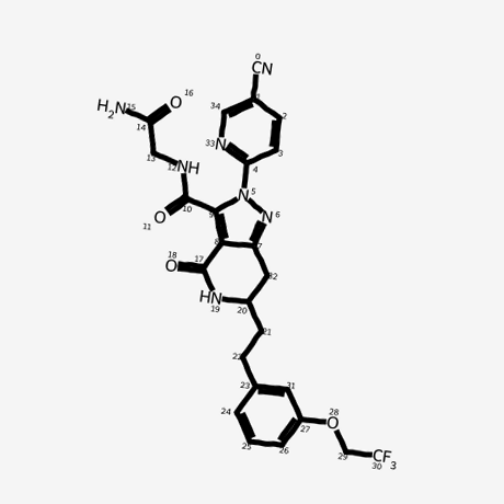 N#Cc1ccc(-n2nc3c(c2C(=O)NCC(N)=O)C(=O)NC(CCc2cccc(OCC(F)(F)F)c2)C3)nc1